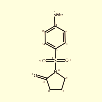 CSc1ccc(S(=O)(=O)N2CCCC2=O)cc1